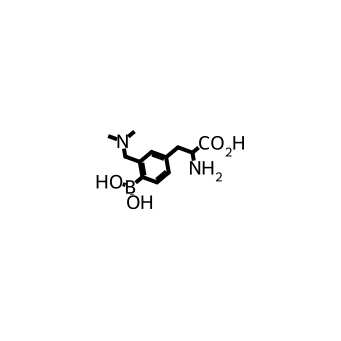 CN(C)Cc1cc(CC(N)C(=O)O)ccc1B(O)O